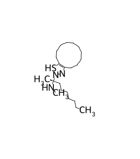 CCCCCCC[C@@](C)(N=N/C1=C(\S)CCCCCCCCCC1)NC